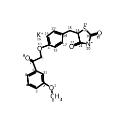 COc1cccc(C(=O)COc2ccc(CC3SC(=O)[N-]C3=O)cc2)c1.[K+]